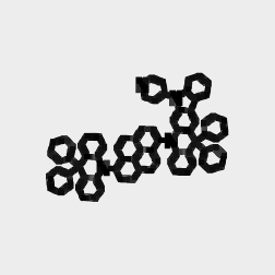 c1ccc(C2(c3ccccc3)c3ccccc3N(c3ccc4ccc5c(N6c7ccccc7C(c7ccccc7)(c7ccccc7)c7cc8c9ccccc9n(-c9ccncc9)c8cc76)ccc6ccc3c4c65)c3ccccc32)cc1